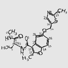 CNC(=O)[C@H](CO)NC(=O)c1c(C)oc2ccc(OCc3cnc(C)s3)cc12